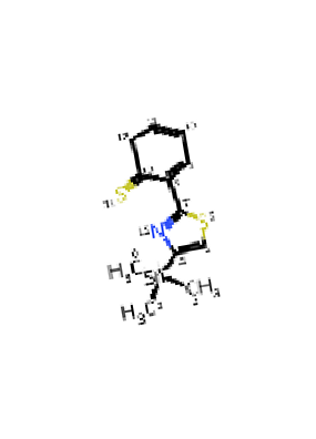 [CH3][Sn]([CH3])([CH3])[c]1csc(C2=CC=CCC2=S)n1